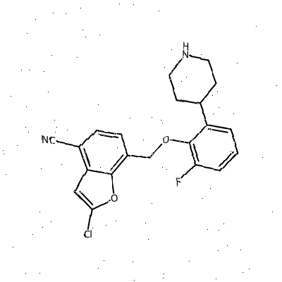 N#Cc1ccc(COc2c(F)cccc2C2CCNCC2)c2oc(Cl)cc12